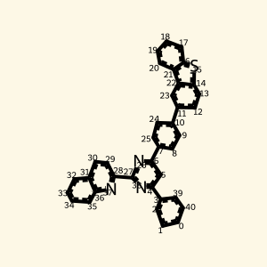 c1ccc(-c2cc(-c3ccc(-c4ccc5sc6ccccc6c5c4)cc3)nc(-c3ccc4ccccc4n3)n2)cc1